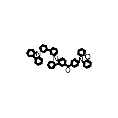 O=C(c1ccc(N2c3ccccc3Oc3ccccc32)cc1)c1ccc2c(c1)c1ccccc1n2-c1cccc(-c2cccc(-n3c4ccccc4c4ccccc43)c2)c1